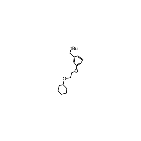 CC(C)(C)Cc1cccc(OCCOC2CCCCC2)c1